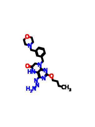 CCCCOc1nc(N=NN)c2c(n1)N(Cc1cccc(CN3CCOCC3)c1)CC(=O)N2